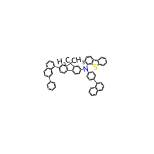 CC1(C)c2cc(-c3cccc4ccc(-c5ccccc5)cc34)ccc2-c2ccc(N(c3ccc(-c4cccc5ccccc45)cc3)c3cccc4c3sc3ccccc34)cc21